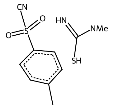 CNC(=N)S.Cc1ccc(S(=O)(=O)C#N)cc1